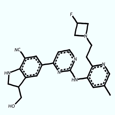 Cc1cnc(CCN2CC(F)C2)c(Nc2nccc(-c3cc(C#N)c4c(c3)C(CO)CN4)n2)c1